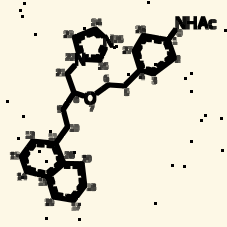 CC(=O)Nc1ccc(CCOC(CCc2cccc3ccccc23)Cn2ccnc2)cc1